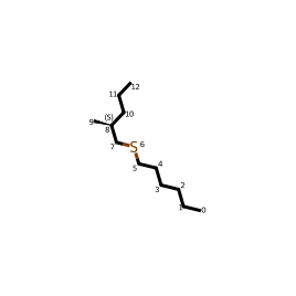 CCCCCCSC[C@@H](C)CCC